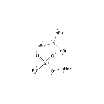 CCCCCCOS(=O)(=O)C(F)(F)F.CCCCN(CCCC)CCCC